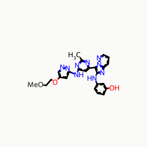 COCCOc1cnnc(Nc2cc(-c3c(Nc4cccc(O)c4)nc4cccnn34)nc(C)n2)c1